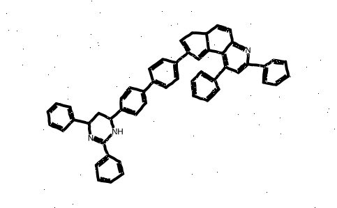 C1=CC2CC=C(c3ccc(-c4ccc(C5CC(c6ccccc6)N=C(c6ccccc6)N5)cc4)cc3)C=C2c2c(-c3ccccc3)cc(-c3ccccc3)nc21